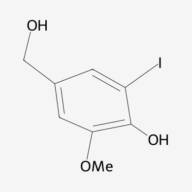 COc1cc(CO)cc(I)c1O